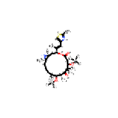 CC[Si](CC)(CC)OC1[C@@H](C)CCC[C@@]2(C)N[C@H]2C[C@@H](/C(C)=C/c2csc(SC)n2)OC(=O)CC(O[Si](CC)(CC)CC)C(C)(C)C(=O)[C@@H]1C